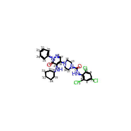 O=C(Nc1c(Cl)cc(Cl)cc1Cl)N1CCN(c2cnn(-c3ccccc3)c(=O)c2NC2CCCCC2)CC1